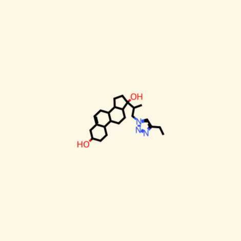 CCc1cn(CC(C)C2(O)CCC3C4CC=C5CC(O)CCC5C4CCC32)nn1